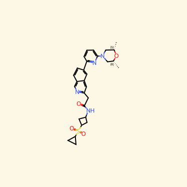 C[C@@H]1CN(c2cccc(-c3ccc4cnc(CC(=O)NC5CC(S(=O)(=O)C6CC6)C5)cc4c3)n2)C[C@H](C)O1